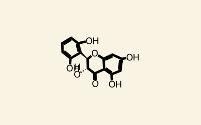 O=C1c2c(O)cc(O)cc2O[C@H](c2c(O)cccc2O)[C@H]1O